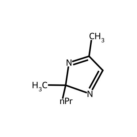 CCCC1(C)N=CC(C)=N1